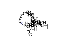 CC(C)(C)OC(=O)N[C@H](C(=O)N1C[C@]2(c3ccc(-c4ccccc4)cc3)C[C@H]1C(=O)N[C@@]1(C[C@H]1C(F)F)C(=O)NS(=O)(=O)C1(CCCCCC/C=C\CS2)CC1)C(C)(C)C